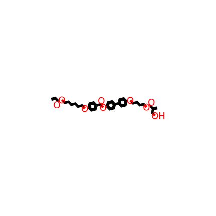 C=CC(=O)OCCCCCCOc1ccc(C(=O)Oc2ccc(-c3ccc(OCCCCOC(=O)C(=C)CO)cc3)cc2)cc1